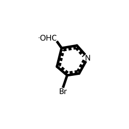 O=[C]c1cncc(Br)c1